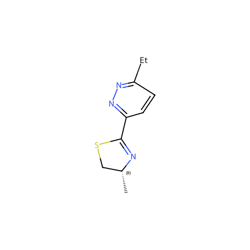 CCc1ccc(C2=N[C@H](C)CS2)nn1